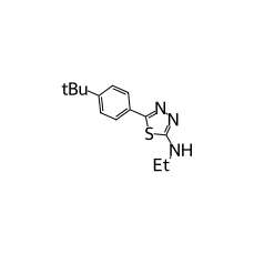 CCNc1nnc(-c2ccc(C(C)(C)C)cc2)s1